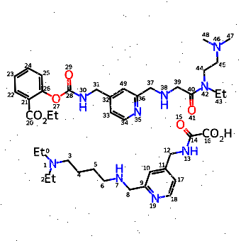 CCN(CC)CCCCNCc1cc(CNC(=O)C(=O)O)ccn1.CCOC(=O)c1ccccc1OC(=O)NCc1ccnc(CNCC(=O)N(CC)CCN(C)C)c1